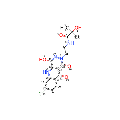 CCC(C)(O)C(=O)NCCn1nc(O)c2[nH]c3cc(Cl)ccc3c(=O)c2c1=O